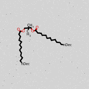 CCCCCCCCCCCCCCCCCCCCCC(=O)OCC(C)(C)COC(=O)CCCCCCCCCCCCCCCCCCCCC